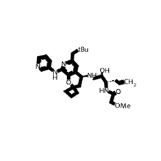 C=CC[C@H](NC(=O)COC)[C@H](O)CN[C@H]1CC2(CCC2)Oc2c1cc(CC(C)(C)C)nc2Nc1cccnc1